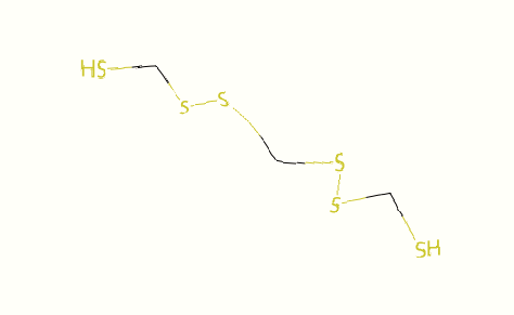 SCSSCSSCS